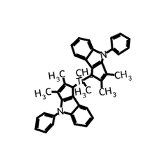 CC1=C(C)[CH]([Ti]([CH3])([CH3])[CH]2C(C)=C(C)c3c2c2ccccc2n3-c2ccccc2)c2c1n(-c1ccccc1)c1ccccc21